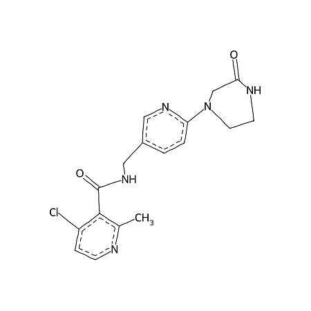 Cc1nccc(Cl)c1C(=O)NCc1ccc(N2CCNC(=O)C2)nc1